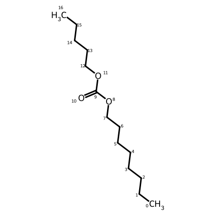 CCCCCCCCOC(=O)OCCCCC